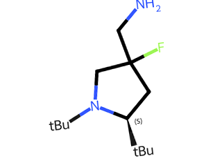 CC(C)(C)[C@@H]1CC(F)(CN)CN1C(C)(C)C